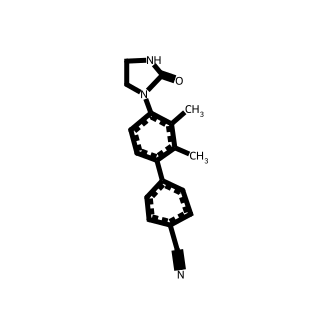 Cc1c(-c2ccc(C#N)cc2)ccc(N2CCNC2=O)c1C